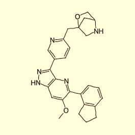 COc1cc2[nH]nc(-c3ccc(CC45CNC(CO4)C5)nc3)c2nc1-c1cccc2c1CCC2